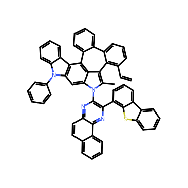 C=Cc1cccc2c1-c1c(C)n(-c3nc4ccc5ccccc5c4nc3-c3cccc4c3sc3ccccc34)c3cc4c(c(c13)-c1ccccc1-2)c1ccccc1n4-c1ccccc1